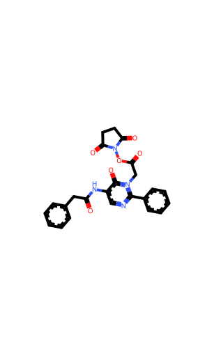 O=C(Cc1ccccc1)Nc1cnc(-c2ccccc2)n(CC(=O)ON2C(=O)CCC2=O)c1=O